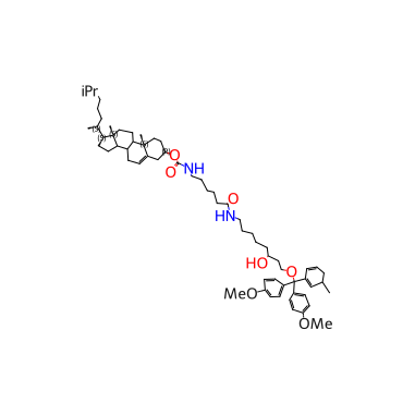 COc1ccc(C(OCCC(O)CCCCCNC(=O)CCCCCNC(=O)O[C@@H]2CC[C@]3(C)C(=CCC4C3CC[C@]3(C)C4CC[C@H]3[C@@H](C)CCCC(C)C)C2)(C2=CC(C)CC=C2)c2ccc(OC)cc2)cc1